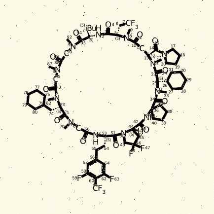 CC[C@H](C)[C@@H]1NC(=O)[C@H](CC(F)(F)F)N(C)C(=O)C[C@@H](C(=O)N2CCCC2)N(C)C(=O)[C@H](C2CCCCC2)N(C)C(=O)C2(CCCC2)NC(=O)[C@@H]2CC(F)(F)CN2C(=O)[C@H](CCc2cc(F)c(C(F)(F)F)c(F)c2)NC(=O)CN(C)C(=O)[C@H](CC2CCCCC2)N(C)C(=O)CN(C)C(=O)CN(C)C1=O